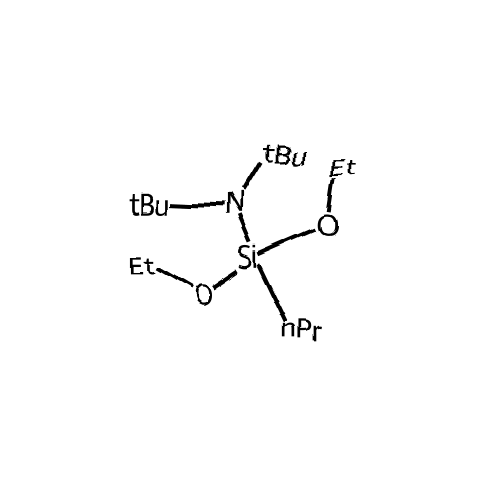 CCC[Si](OCC)(OCC)N(C(C)(C)C)C(C)(C)C